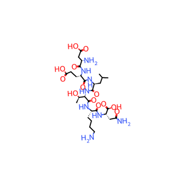 CC(C)C[C@H](NC(=O)[C@H](CCC(=O)O)NC(=O)[C@@H](N)CC(=O)O)C(=O)N[C@H](C(=O)N[C@@H](CCCCN)C(=O)N[C@@H](CC(N)=O)C(=O)O)[C@@H](C)O